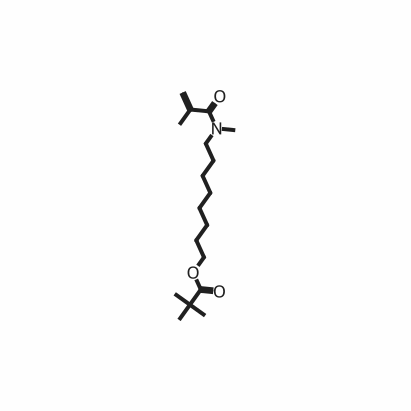 C=C(C)C(=O)N(C)CCCCCCCCOC(=O)C(C)(C)C